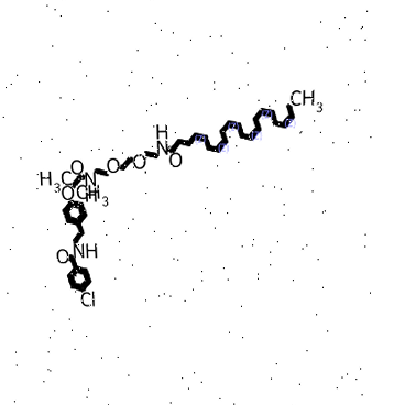 CC/C=C\C/C=C\C/C=C\C/C=C\C/C=C\C/C=C\CCC(=O)NCCOCCOCCNC(=O)C(C)(C)Oc1ccc(CCNC(=O)c2ccc(Cl)cc2)cc1